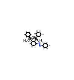 CC(C)(c1ccccc1)c1cccc(N=Nc2ccccc2)c1C(C)(C)c1ccccc1